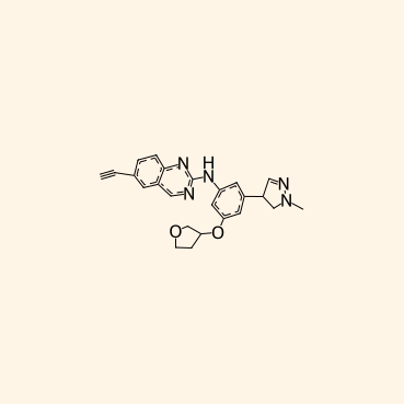 C#Cc1ccc2nc(Nc3cc(OC4CCOC4)cc(C4C=NN(C)C4)c3)ncc2c1